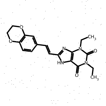 CCn1c(=O)c2[nH]c(/C=C/c3ccc4c(c3)OCCO4)nc2n(CC)c1=O